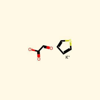 O=CC(=O)[O-].[K+].c1ccsc1